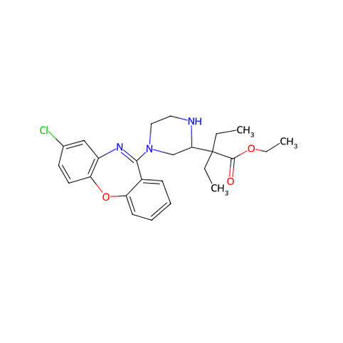 CCOC(=O)C(CC)(CC)C1CN(C2=Nc3cc(Cl)ccc3Oc3ccccc32)CCN1